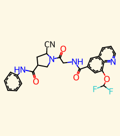 N#CC1CC(C(=O)Nc2ccccc2)CN1C(=O)CNC(=O)c1cc(OC(F)F)c2ncccc2c1